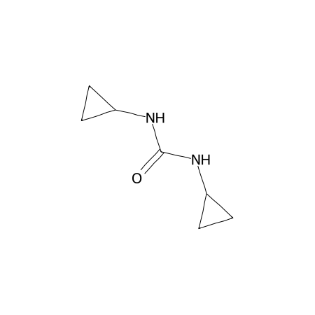 O=C(NC1CC1)NC1CC1